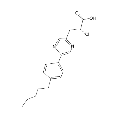 CCCCCc1ccc(-c2cnc(C[C@@H](Cl)C(=O)O)cn2)cc1